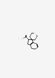 NC(=O)C1CC2=C(C=CCC2)C12CCNCC2